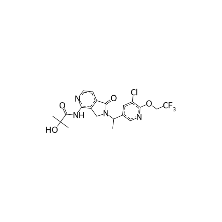 CC(c1cnc(OCC(F)(F)F)c(Cl)c1)N1Cc2c(ccnc2NC(=O)C(C)(C)O)C1=O